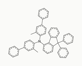 Cc1cc(-c2ccccc2)ccc1N(c1ccc(-c2ccccc2)cc1C)c1cccc2c1-c1ccccc1C2(c1ccccc1)c1ccccc1